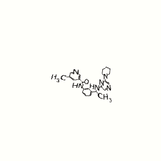 Cc1cncc(C(=O)Nc2cccc([C@H](C)Nc3cncc(N4CCCCC4)n3)c2)c1